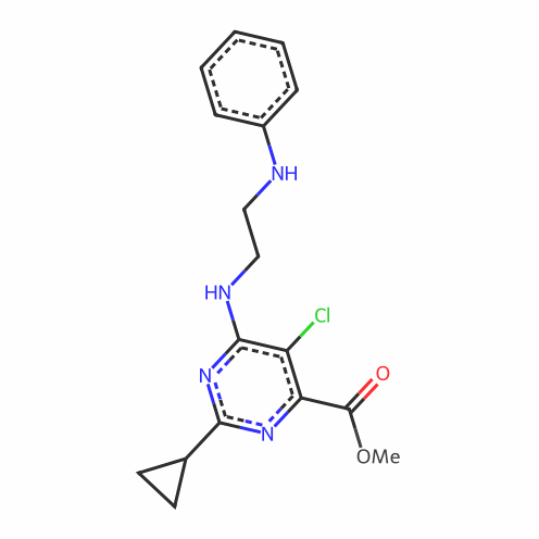 COC(=O)c1nc(C2CC2)nc(NCCNc2ccccc2)c1Cl